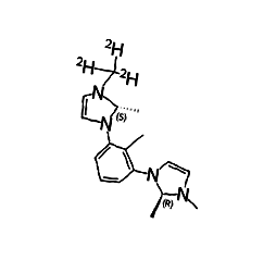 [2H]C([2H])([2H])N1C=CN(c2cccc(N3C=CN(C)[C@H]3C)c2C)[C@H]1C